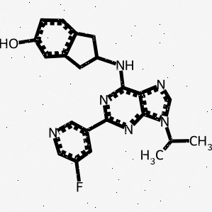 CC(C)n1cnc2c(NC3Cc4ccc(O)cc4C3)nc(-c3cncc(F)c3)nc21